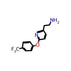 NCCc1ccc(Oc2ccc(C(F)(F)F)cc2)nc1